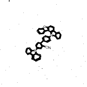 N#Cc1cc(-n2c3ccccc3c3ccccc32)ccc1-c1ccc(-n2c3ccccc3c3ccc4oc5ccccc5c4c32)cc1